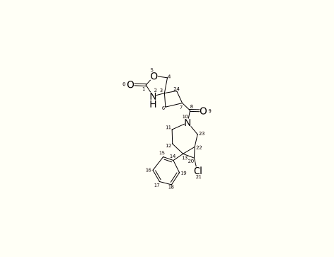 O=C1NC2(CO1)CC(C(=O)N1CCC3(c4ccccc4)C(Cl)C3C1)C2